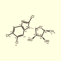 C[C@@H]1O[C@@H](n2c(Cl)nc3cc(Cl)c(Cl)cc32)[C@H](O)[C@@H]1O